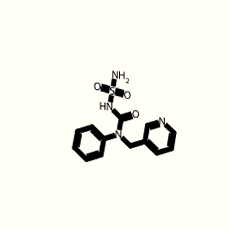 NS(=O)(=O)NC(=O)N(Cc1cccnc1)c1ccccc1